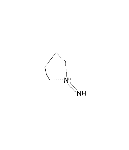 N=[N+]1CCCC1